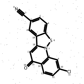 N#Cc1ccc2sn3c4cc(Cl)ccc4c(=O)cc3c2c1